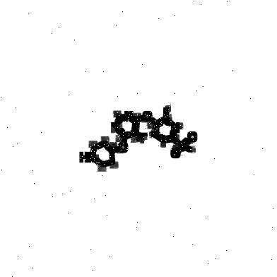 Cc1nc(S(C)(=O)=O)ccc1Oc1ncnc(OC2CCNCC2)c1F